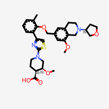 COc1cc(COc2c(C)cccc2-c2csc(N3CC[C@H](C(=O)O)[C@H](OC)C3)n2)cc2c1CN([C@H]1CCOC1)CC2